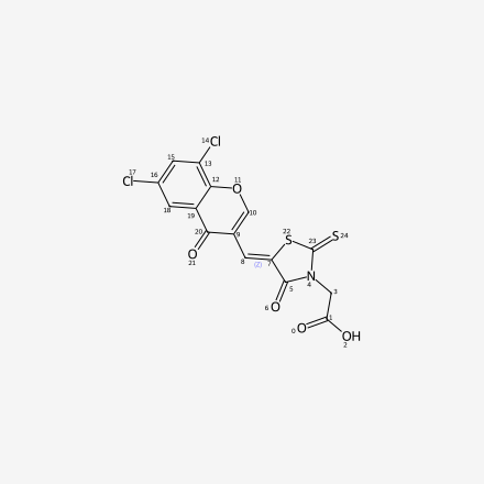 O=C(O)CN1C(=O)/C(=C/c2coc3c(Cl)cc(Cl)cc3c2=O)SC1=S